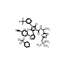 Cc1c(-c2ccnn2-c2ccc(C#N)cc2)n(C(=O)NC(C)c2nnc(C[N+](C)(C)C)o2)c(=O)n1-c1cccc(C(F)(F)F)c1.O=S(=O)([O-])c1ccccc1